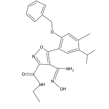 CCNC(=O)c1noc(-c2cc(C(C)C)c(C)cc2OCc2ccccc2)c1C(N)=NO